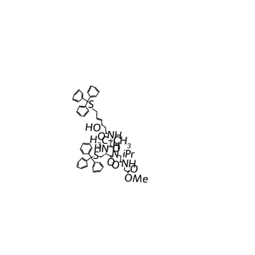 COC(=O)CNC(=O)[C@H](NC(=O)[C@@H](CSC(c1ccccc1)(c1ccccc1)c1ccccc1)NC(=O)C(C)(C)NC(=O)C[C@H](O)C=CCCSC(c1ccccc1)(c1ccccc1)c1ccccc1)C(C)C